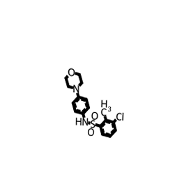 Cc1c(Cl)cccc1S(=O)(=O)Nc1ccc(N2CCOCC2)cc1